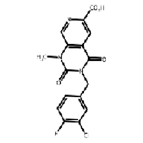 Cn1c(=O)n(Cc2ccc(F)c(Cl)c2)c(=O)c2cc(C(=O)O)ncc21